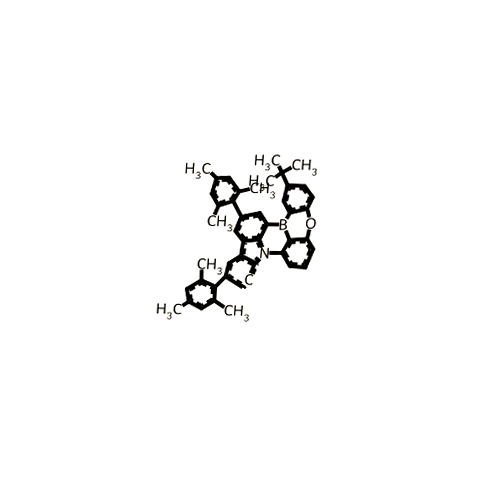 Cc1cc(C)c(-c2ccc3c(c2)c2cc(-c4c(C)cc(C)cc4C)cc4c2n3-c2cccc3c2B4c2cc(C(C)(C)C)ccc2O3)c(C)c1